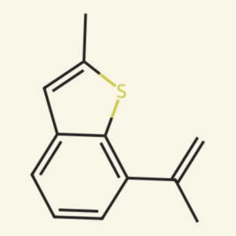 C=C(C)c1cccc2cc(C)sc12